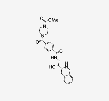 COC(=O)N1CCN(C(=O)c2ccc(C(=O)NC[C@@H](O)[C@@H]3Cc4ccccc4CN3)cc2)CC1